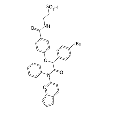 CC(C)(C)c1ccc(C(Oc2ccc(C(=O)NCCS(=O)(=O)O)cc2)C(=O)N(c2ccccc2)c2ccc3cccc-3o2)cc1